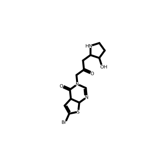 O=C(CC1NCCC1O)CN1C=NC2SC(Br)=CC2C1=O